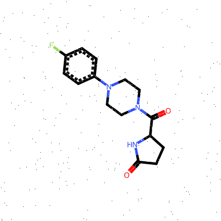 O=C1CCC(C(=O)N2CCN(c3ccc(F)cc3)CC2)N1